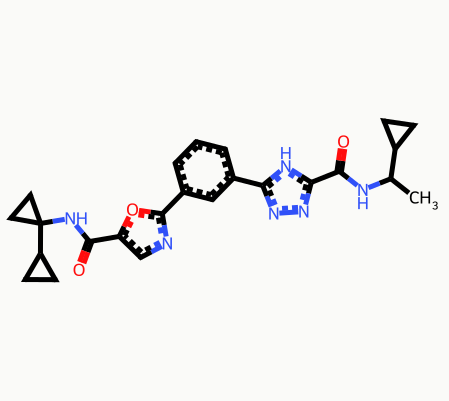 CC(NC(=O)c1nnc(-c2cccc(-c3ncc(C(=O)NC4(C5CC5)CC4)o3)c2)[nH]1)C1CC1